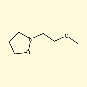 COCCN1CCCO1